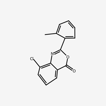 Cc1ccccc1-c1nc2c(Cl)cccc2c(=O)o1